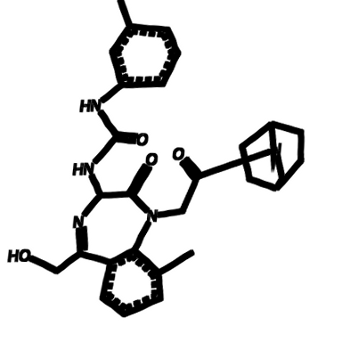 Cc1cccc(NC(=O)NC2N=C(CO)c3cccc(C)c3N(CC(=O)N3CC4CCC(CC4)C3)C2=O)c1